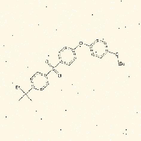 CCC(C)(C)c1ccc(S(=O)(=O)c2ccc(Oc3ccc(OC(C)(C)C)cc3)cc2)cc1